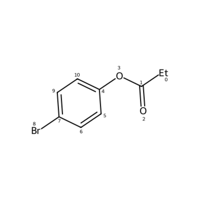 [CH2]CC(=O)Oc1ccc(Br)cc1